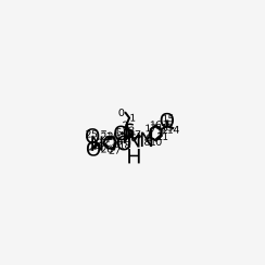 CCCSP(=O)(NC=Nc1ccc(C(C)=O)cc1)Oc1ccc([N+](=O)[O-])cc1